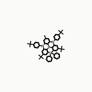 Cc1cc2c3c(c1)N(c1ccc(C(C)(C)C)cc1)c1cc(C(C)(C)C)cc4c1B3c1c(cc(C(C)(C)C)cc1[Si]4(c1ccccc1)c1ccccc1)N2c1ccc(C(C)(C)C)cc1